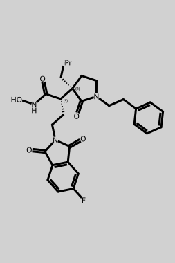 CC(C)C[C@]1([C@H](CCN2C(=O)c3ccc(F)cc3C2=O)C(=O)NO)CCN(CCc2ccccc2)C1=O